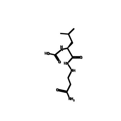 CC(C)C[C@H](NC(=O)O)C(=O)NNCCC(N)=O